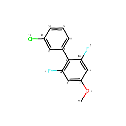 COc1cc(F)c(-c2cc[c]c(Cl)c2)c(F)c1